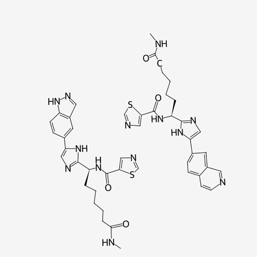 CNC(=O)CCCCC[C@H](NC(=O)c1cncs1)c1ncc(-c2ccc3[nH]ncc3c2)[nH]1.CNC(=O)CCCCC[C@H](NC(=O)c1cncs1)c1ncc(-c2ccc3ccncc3c2)[nH]1